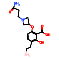 BCCc1ccc(OC2CN(CCC(N)=O)C2)c(C(=O)O)c1O